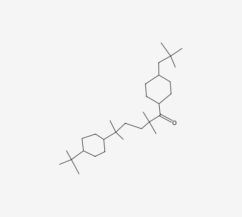 CC(C)(C)CC1CCC(C(=O)C(C)(C)CCC(C)(C)C2CCC(C(C)(C)C)CC2)CC1